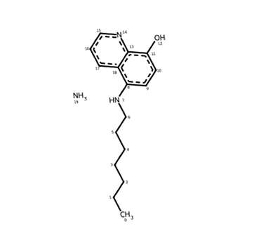 CCCCCCCNc1ccc(O)c2ncccc12.N